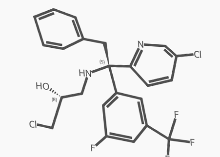 O[C@@H](CCl)CN[C@@](Cc1ccccc1)(c1cc(F)cc(C(F)(F)F)c1)c1ccc(Cl)cn1